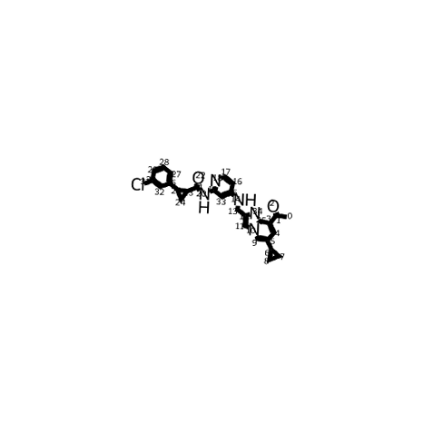 CC(=O)c1cc(C2CC2)cn2cc(CNc3ccnc(NC(=O)C4CC4c4cccc(Cl)c4)c3)nc12